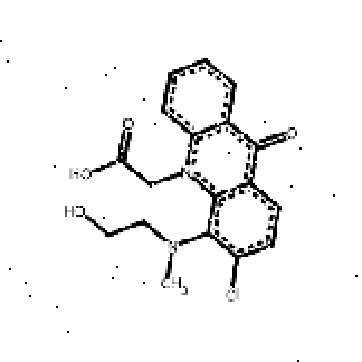 CN(CCO)c1c(Cl)ccc2c(=O)c3ccccc3n(CC(=O)O)c12